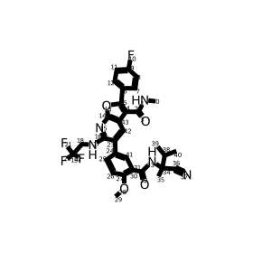 CNC(=O)c1c(-c2ccc(F)cc2)oc2nc(NCC(F)(F)F)c(-c3ccc(OC)c(C(=O)NC(C)(C#N)C(C)C)c3)cc12